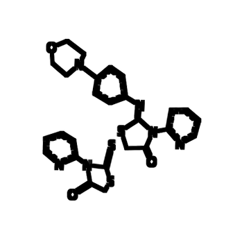 O=C1CSC(=Nc2ccc(N3CCOCC3)cc2)N1c1ccccn1.O=C1CSC(=S)N1c1ccccn1